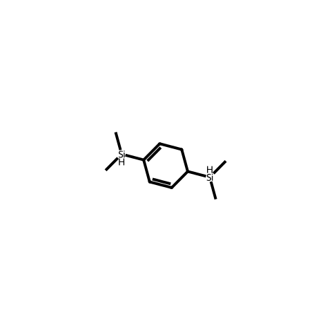 C[SiH](C)C1=CCC([SiH](C)C)C=C1